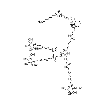 C/C=C/C/C=C/CCOP(=O)(O)OCCOCCNC(=O)C1(F)CCCCCc2c1nnn2CCCNC(=O)CCCCCCC(=O)NC(COCCC(=O)NCCOCCOCCOC1OC(CO)C(O)C(O)C1NC(C)=O)(COCCC(=O)NCCOCCOCCOC1OC(CO)C(O)C(O)C1NC(C)=O)COCCC(=O)NCCOCCOCCOC1OC(CO)C(O)C(O)C1NC(C)=O